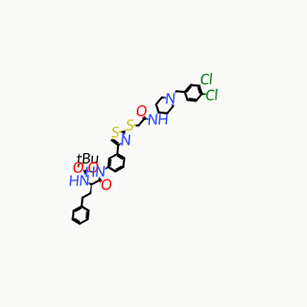 CC(C)(C)OC(=O)N[C@H](CCc1ccccc1)C(=O)Nc1cccc(-c2csc(SCC(=O)NC3CCN(Cc4ccc(Cl)c(Cl)c4)CC3)n2)c1